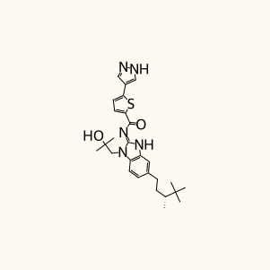 C[C@H](CCc1ccc2c(c1)[nH]/c(=N\C(=O)c1ccc(-c3cn[nH]c3)s1)n2CC(C)(C)O)C(C)(C)C